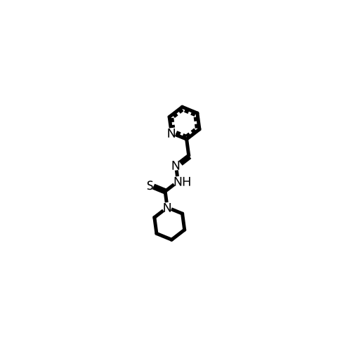 S=C(NN=Cc1ccccn1)N1CCCCC1